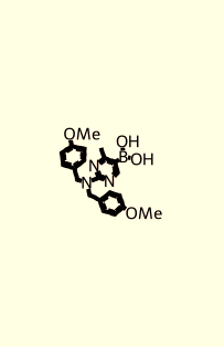 COc1ccc(CN(Cc2ccc(OC)cc2)c2ncc(B(O)O)c(C)n2)cc1